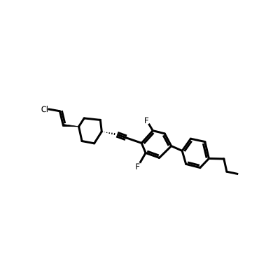 CCCc1ccc(-c2cc(F)c(C#C[C@H]3CC[C@H](C=CCl)CC3)c(F)c2)cc1